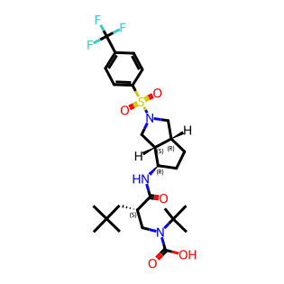 CC(C)(C)C[C@@H](CN(C(=O)O)C(C)(C)C)C(=O)N[C@@H]1CC[C@H]2CN(S(=O)(=O)c3ccc(C(F)(F)F)cc3)C[C@H]21